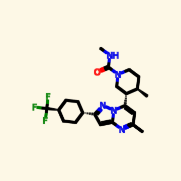 CNC(=O)N1CC[C@@H](C)[C@H](c2cc(C)nc3cc([C@H]4CC[C@H](C(F)(F)F)CC4)nn23)C1